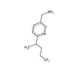 CC(CCC(F)(F)F)c1ccc(CN)cn1